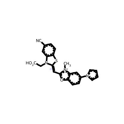 C[n+]1c(/C=C2\Sc3ccc(C#N)cc3N2CC(=O)O)oc2ccc(-n3cccc3)cc21